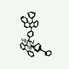 NC(N/C(=N\Cc1ccc(-c2ccccc2)cc1)c1ccc(-c2c3ccccc3c(-c3ccccc3)c3c2ccc2ccccc23)cc1)c1ccccc1-c1ccccc1